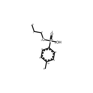 CCCOP(=O)(O)c1ccc(C)cc1